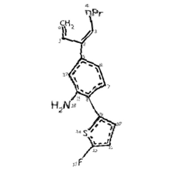 C=C/C(=C\CCC)c1ccc(-c2ccc(F)s2)c(N)c1